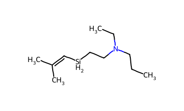 CCCN(CC)CC[SiH2]C=C(C)C